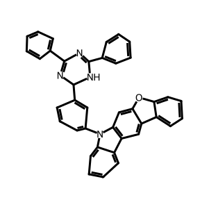 c1ccc(C2=NC(c3cccc(-n4c5ccccc5c5cc6c(cc54)oc4ccccc46)c3)NC(c3ccccc3)=N2)cc1